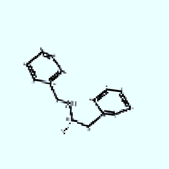 [CH2][C@@H](Cc1ccccc1)NCc1ccccc1